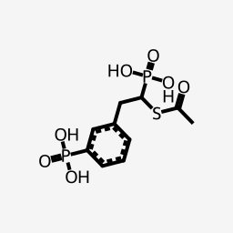 CC(=O)SC(Cc1cccc(P(=O)(O)O)c1)P(=O)(O)O